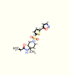 C=CC(=O)NC1(C)CCN(S(=O)(=O)c2ccc(-c3ccno3)s2)CC1